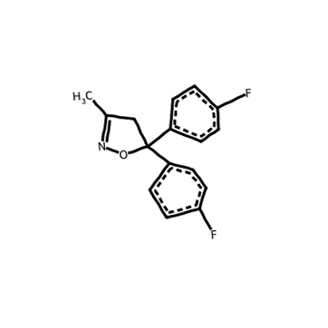 CC1=NOC(c2ccc(F)cc2)(c2ccc(F)cc2)C1